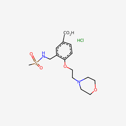 CS(=O)(=O)NCc1cc(C(=O)O)ccc1OCCN1CCOCC1.Cl